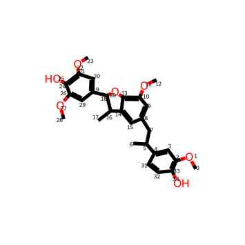 COc1cc(C(C)Cc2cc(OC)c3c(c2)C(C)C(c2cc(OC)c(O)c(OC)c2)O3)ccc1O